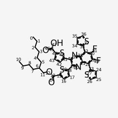 CCCCCCC(CCCC)COC(=O)c1ccc(-c2nc3c(-c4cccs4)c(F)c(F)c(-c4cccs4)c3nc2-c2ccc(C(=O)O)s2)s1